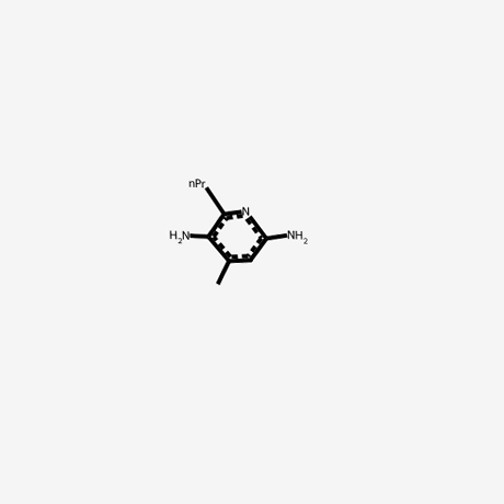 CCCc1nc(N)cc(C)c1N